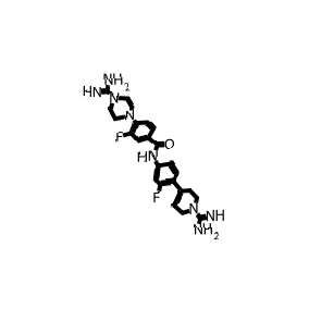 N=C(N)N1CC=C(c2ccc(NC(=O)c3ccc(N4CCN(C(=N)N)CC4)c(F)c3)cc2F)CC1